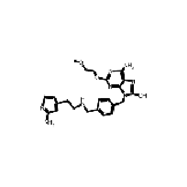 COCCOc1nc(N)c2nc(O)n(Cc3ccc(CNCCc4ccnc(N)c4)cc3)c2n1